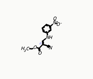 CCOC(=O)/C(C#N)=C/Nc1cccc([N+](=O)[O-])c1